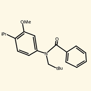 COc1cc(N(CC(C)(C)C)C(=O)c2ccccc2)ccc1C(C)C